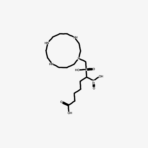 O=C(O)CCCCC([PH](=O)O)P(=O)(O)CN1CCCNCCNCCCNCC1